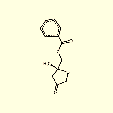 C[C@]1(COC(=O)c2ccccc2)CC(=O)CO1